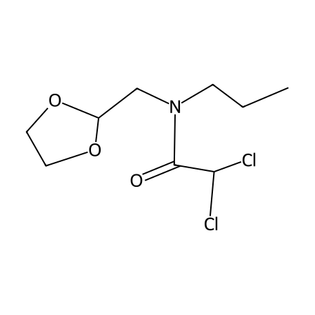 CCCN(CC1OCCO1)C(=O)C(Cl)Cl